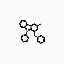 Cc1cc(Cc2ccccc2)c2c(c1)c1ccccc1n2-c1ccccc1